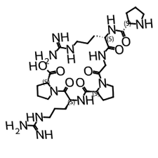 N=C(N)NCCC[C@H](NC(=O)[C@@H]1CCCN1)C(=O)NCC(=O)N1CCC[C@H]1C(=O)N[C@@H](CCCNC(=N)N)C(=O)N1CCC[C@H]1C(=O)O